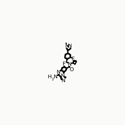 Cn1cc(-c2ccc(CN(C(=O)c3cc4c(cc3F)nc(N)c3cncn34)C34CC(C3)C4)c(F)c2)cn1